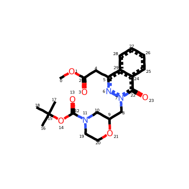 COC(=O)Cc1nn(CC2CN(C(=O)OC(C)(C)C)CCO2)c(=O)c2ccccc12